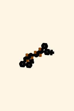 CC(C)(C)c1cccc(-c2ccccc2-c2cc3sc4cc(-c5cc6sc7cc(-c8ccccc8-c8cccc(C(C)(C)C)c8)sc7c6s5)sc4c3s2)c1